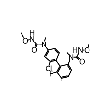 CONC(=O)N(C)c1ccc(-c2c(F)[c]ccc2N(C)C(=O)NOC)c(Cl)c1